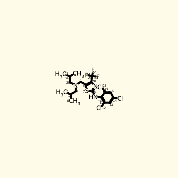 CC(C)CN(Cc1sc(Nc2c(Cl)cc(Cl)cc2Cl)nc1C(F)(F)F)CC(C)C